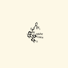 COc1ccc(-c2c(NC(=O)/C=C/C3CCCN3C)ccc3ncnc(Nc4ccc(F)c(Cl)c4)c23)cc1OC